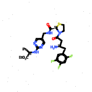 CCOC(=O)[C@H](Nc1ncc(CNC(=O)[C@@H]2SCCN2C(=O)C[C@H](N)Cc2cc(F)c(F)cc2F)cn1)C(C)C